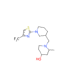 CC1CC(O)CCN1CC1CCCN(c2nc(C(F)(F)F)cs2)C1